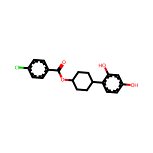 O=C(OC1CCC(c2ccc(O)cc2O)CC1)c1ccc(Cl)cc1